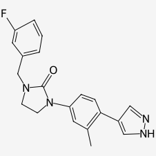 Cc1cc(N2CCN(Cc3cccc(F)c3)C2=O)ccc1-c1cn[nH]c1